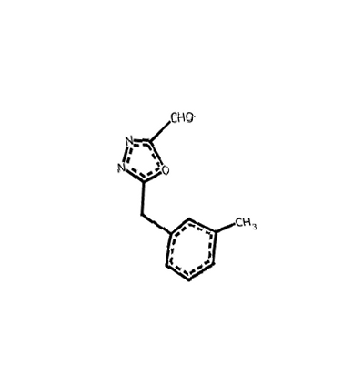 Cc1cccc(Cc2nnc([C]=O)o2)c1